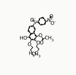 CCCOc1c(OCCC)c(OC(C)=O)c2cc([S+]([O-])c3ccc([N+](=O)[O-])cc3)ccc2c1O